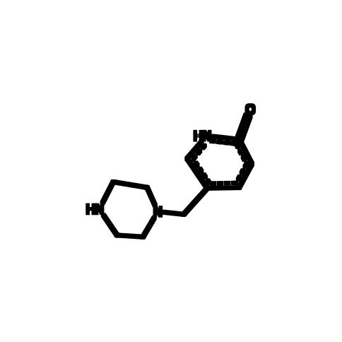 O=c1ccc(CN2CCNCC2)c[nH]1